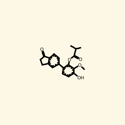 COc1c(O)ccc(-c2ccc3c(c2)CCC3=O)c1OC(=O)C(C)C